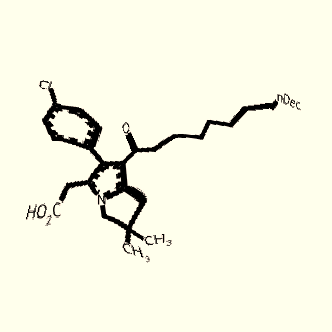 CCCCCCCCCCCCCCCCCC(=O)c1c(-c2ccc(Cl)cc2)c(CC(=O)O)n2c1CC(C)(C)C2